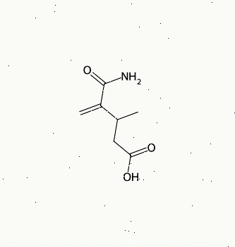 C=C(C(N)=O)C(C)CC(=O)O